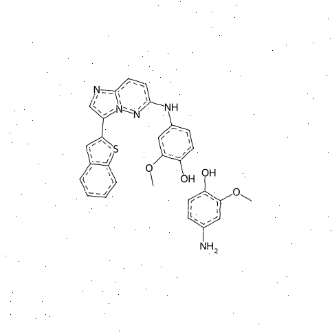 COc1cc(N)ccc1O.COc1cc(Nc2ccc3ncc(-c4cc5ccccc5s4)n3n2)ccc1O